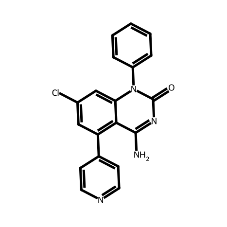 Nc1nc(=O)n(-c2ccccc2)c2cc(Cl)cc(-c3ccncc3)c12